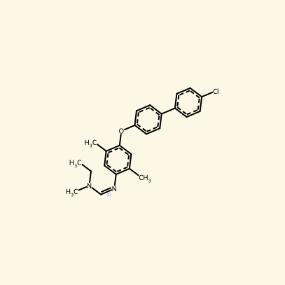 CCN(C)/C=N\c1cc(C)c(Oc2ccc(-c3ccc(Cl)cc3)cc2)cc1C